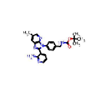 Cc1cnc2c(c1)nc(-c1cccnc1N)n2-c1ccc(CNC(=O)OC(C)(C)C)cc1